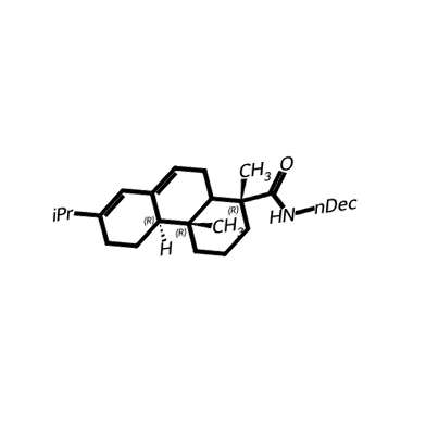 CCCCCCCCCCNC(=O)[C@]1(C)CCC[C@@]2(C)C1CC=C1C=C(C(C)C)CC[C@@H]12